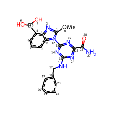 COc1nc2c(B(O)O)cccc2n1-c1nc(NCc2ccccc2)nc(C(N)=O)n1